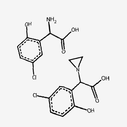 NC(C(=O)O)c1cc(Cl)ccc1O.O=C(O)C(c1cc(Cl)ccc1O)N1CC1